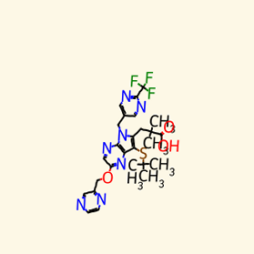 CC(C)(C)Sc1c(CC(C)(C)C(=O)O)n(Cc2cnc(C(F)(F)F)nc2)c2ncc(OCc3cnccn3)nc12